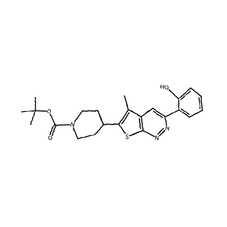 Cc1c(C2CCN(C(=O)OC(C)(C)C)CC2)sc2nnc(-c3ccccc3O)cc12